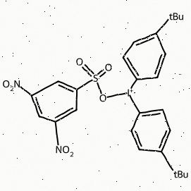 CC(C)(C)c1ccc([I+](OS(=O)(=O)c2cc([N+](=O)[O-])cc([N+](=O)[O-])c2)c2ccc(C(C)(C)C)cc2)cc1